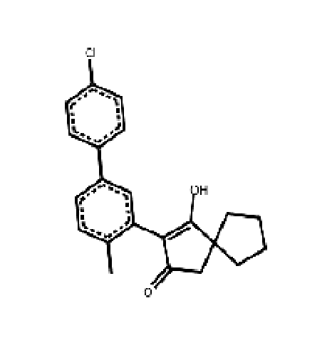 Cc1ccc(-c2ccc(Cl)cc2)cc1C1=C(O)C2(CCCC2)CC1=O